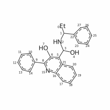 CCC(NC(O)c1c(O)c(-c2ccccc2)nc2ccccc12)c1ccccc1